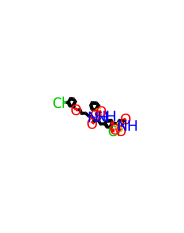 O=C1CC(c2ccc(CC(NS(=O)(=O)c3ccccc3)C(=O)NCCCCOc3cccc(Cl)c3)cc2Cl)S(=O)(=O)N1